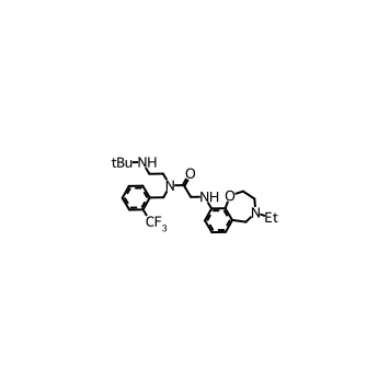 CCN1CCOc2c(cccc2NCC(=O)N(CCNC(C)(C)C)Cc2ccccc2C(F)(F)F)C1